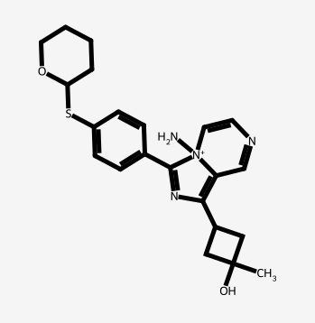 CC1(O)CC(C2=C3C=NC=C[N+]3(N)C(c3ccc(SC4CCCCO4)cc3)=N2)C1